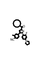 Cc1cc(-c2cc(C(=O)C3CCCCCCCCC3)nn2-c2ccc(N3CCCC3)cc2F)ccc1C#N